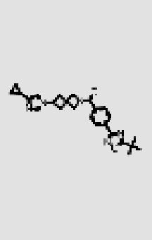 CC(C)(C)c1nc(-c2ccc(C(=O)N3CC4(CC(n5cnc(C6CC6)c5)C4)C3)cc2)no1